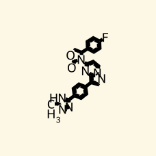 Cc1nnc(-c2ccc(-c3cnn4ccc(N5C(=O)OCC5c5ccc(F)cc5)nc34)cc2)[nH]1